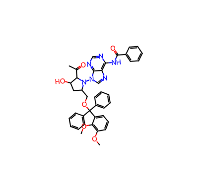 COc1cccc(C(OCC2CC(O)C(C(C)=O)N2n2cnc3c(NC(=O)c4ccccc4)ncnc32)(c2ccccc2)c2ccccc2)c1OC